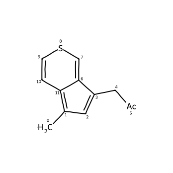 [CH2]c1cc(CC(C)=O)c2csccc1-2